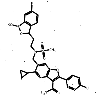 CS(=O)(=O)N(CCC1OB(O)c2cc(F)ccc21)Cc1cc2oc(-c3ccc(Cl)cc3)c(C(N)=O)c2cc1C1CC1